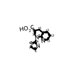 O=C(O)C1=CN(c2nccs2)c2ncccc2C1